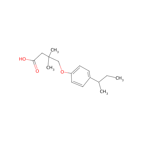 CCC(C)c1ccc(OCC(C)(C)CC(=O)O)cc1